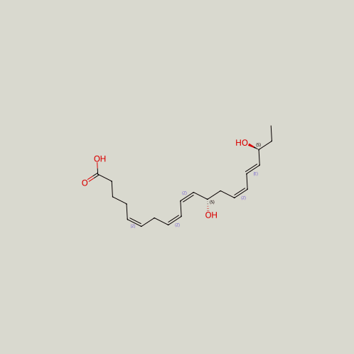 CC[C@H](O)/C=C/C=C\C[C@H](O)/C=C\C=C/C/C=C\CCCC(=O)O